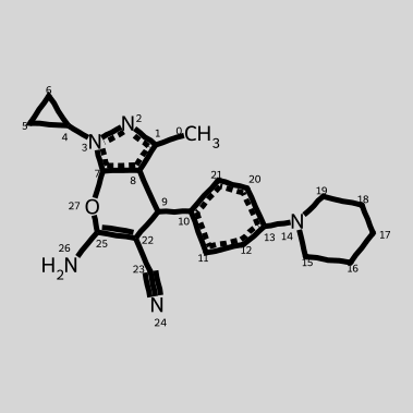 Cc1nn(C2CC2)c2c1C(c1ccc(N3CCCCC3)cc1)C(C#N)=C(N)O2